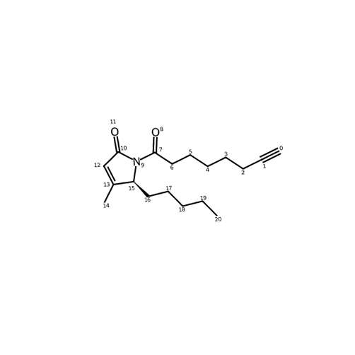 C#CCCCCCC(=O)N1C(=O)C=C(C)[C@@H]1CCCCC